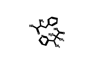 CN(c1cccnc1)C(C)(C)C(=O)O.NC(Cc1ccccc1)C(=O)O